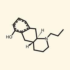 CCCN1CCC[C@@H]2Cc3c(O)[c]ccc3C[C@H]21